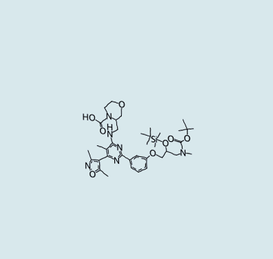 Cc1noc(C)c1-c1nc(-c2cccc(OCC(CN(C)C(=O)OC(C)(C)C)O[Si](C)(C)C(C)(C)C)c2)nc(NCC2COCCN2C(=O)O)c1C